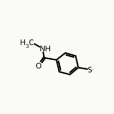 CNC(=O)c1ccc([S])cc1